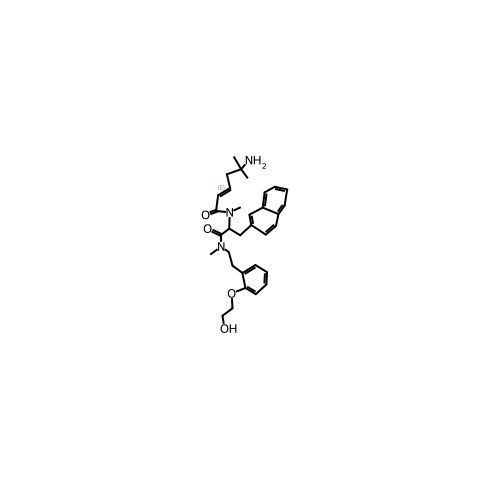 CN(CCc1ccccc1OCCO)C(=O)C(Cc1ccc2ccccc2c1)N(C)C(=O)/C=C/CC(C)(C)N